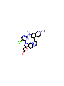 CN1CCc2c(cc(Nc3ncc(Cl)c(N4CC5(CC(=O)O5)c5ccccc54)n3)cc2-c2ccn[nH]2)C1